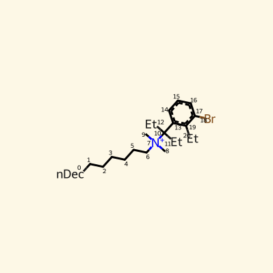 CCCCCCCCCCCCCCCC[N+](C)(C)C(CC)(CC)c1cccc(Br)c1CC